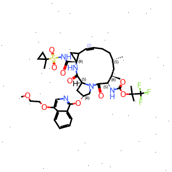 COCCOc1cnc(O[C@@H]2C[C@H]3C(=O)N[C@]4(C(=O)NS(=O)(=O)C5(C)CC5)CC4/C=C\CC[C@H](C)C[C@@H](C)[C@H](NC(=O)OC(C)(C)C(F)(F)F)C(=O)N3C2)c2ccccc12